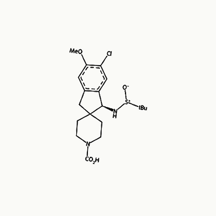 COc1cc2c(cc1Cl)[C@@H](N[S+]([O-])C(C)(C)C)C1(CCN(C(=O)O)CC1)C2